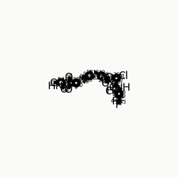 O=C1CCC(N2C(=O)c3ccc(N4CC5(CCN(CC6CCN(S(=O)(=O)Nc7ccc(Cl)cc7C(=O)Nc7ccc(C(F)(F)F)cc7Cl)CC6)CC5)C4)cc3C2=O)C(=O)N1